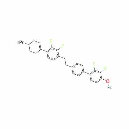 CCCC1CC=C(c2ccc(CCc3ccc(-c4ccc(OCC)c(F)c4F)cc3)c(F)c2F)CC1